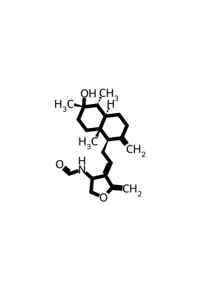 C=C1OCC(NC=O)/C1=C\C[C@@H]1C(=C)CC[C@@H]2[C@@H](C)[C@@](C)(O)CC[C@@]12C